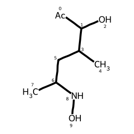 CC(=O)C(O)C(C)CC(C)NO